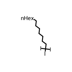 CCCCCCCCCCCCCC(I)(I)I